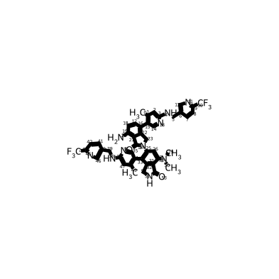 Cc1cc(NCc2ccc(C(F)(F)F)nc2)ncc1-c1ccc(N)c2c1CN(c1cc(N(C)C)c3c(c1-c1cnc(NCc4ccc(C(F)(F)F)nc4)cc1C)CNC3=O)C2=O